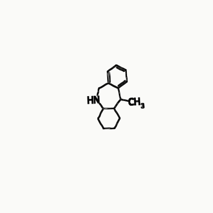 CC1c2ccccc2CNC2CCCCC21